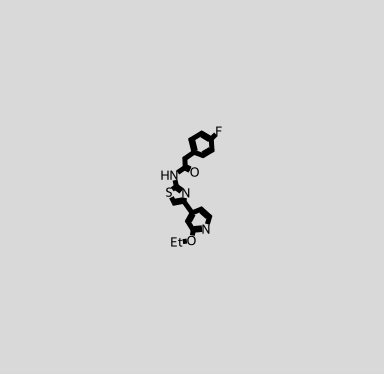 CCOc1cc(-c2csc(NC(=O)Cc3ccc(F)cc3)n2)ccn1